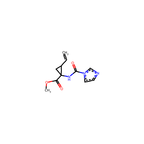 C=CC1CC1(NC(=O)n1ccnc1)C(=O)OC